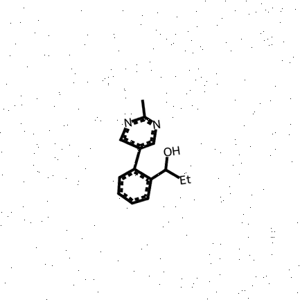 CCC(O)c1ccccc1-c1cnc(C)nc1